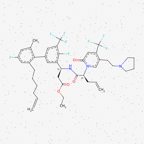 C=CCCCCc1cc(F)cc(C)c1-c1cc([C@H](CC(=O)OCC)NC(=O)[C@H](CC=C)n2cc(CCN3CCCC3)c(C(F)(F)F)cc2=O)c(F)c(C(F)(F)F)c1